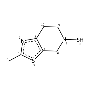 Cc1nc2c(s1)CN(S)CC2